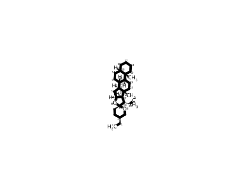 CC[C@H]1CC[C@@]2(OC1)O[C@H]1C[C@H]3[C@@H]4CC[C@@H]5CCCC[C@]5(C)[C@H]4CC[C@]3(C)[C@H]1[C@@H]2CC